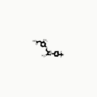 Cc1cc(SCc2nn(-c3ccc(C(F)(F)F)cc3)nc2C)ccc1CC(=O)O